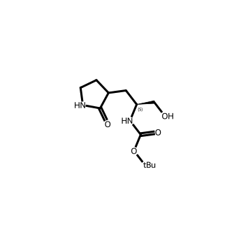 CC(C)(C)OC(=O)N[C@H](CO)CC1CCNC1=O